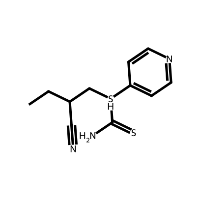 CCC(C#N)C[SH](C(N)=S)c1ccncc1